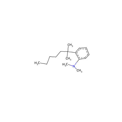 CCCCCC(C)(C)c1ccccc1N(C)C